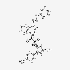 Cc1ccc(-n2nc(C(C)(C)C)cc2NC(=O)C(=O)c2ccc(OCCc3ccncc3)c3ccccc23)cc1